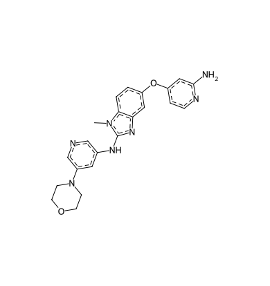 Cn1c(Nc2cncc(N3CCOCC3)c2)nc2cc(Oc3ccnc(N)c3)ccc21